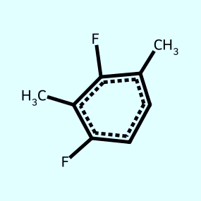 Cc1ccc(F)c(C)c1F